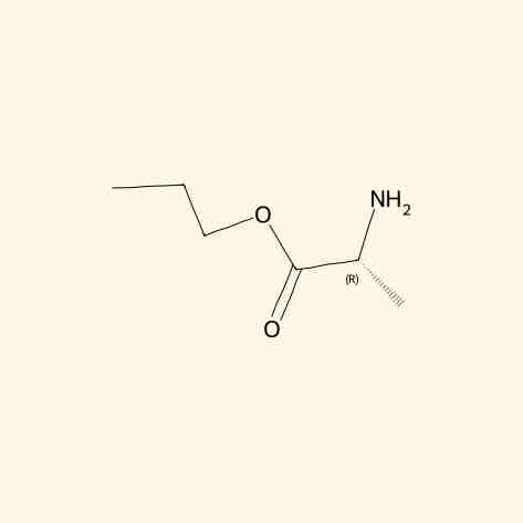 CCCOC(=O)[C@@H](C)N